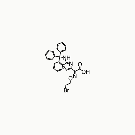 O=C(O)/C(=N/OCCBr)c1csc(NC(c2ccccc2)(c2ccccc2)c2ccccc2)n1